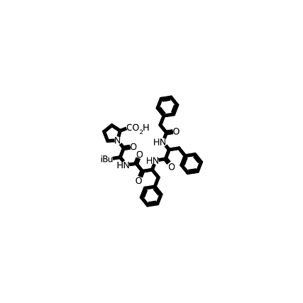 CCC(C)C(NC(=O)C(=O)C(Cc1ccccc1)NC(=O)C(Cc1ccccc1)NC(=O)Cc1ccccc1)C(=O)N1CCCC1C(=O)O